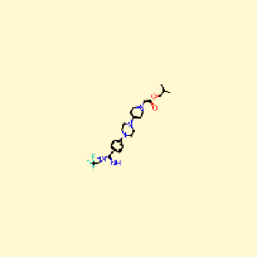 CC(C)COC(=O)CN1CCC(N2CCN(c3ccc(C(=N)NCC(F)(F)F)cc3)CC2)CC1